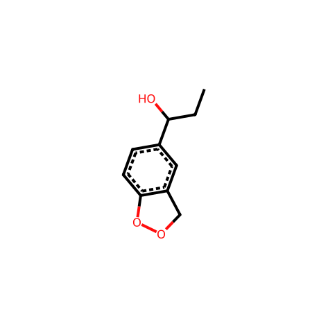 CCC(O)c1ccc2c(c1)COO2